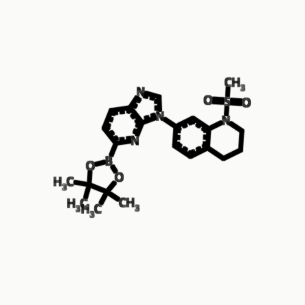 CC1(C)OB(c2ccc3ncn(-c4ccc5c(c4)N(S(C)(=O)=O)CCC5)c3n2)OC1(C)C